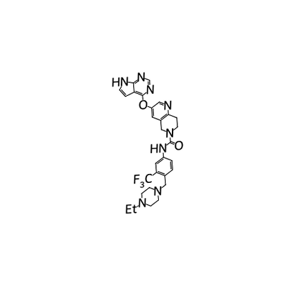 CCN1CCN(Cc2ccc(NC(=O)N3CCc4ncc(Oc5ncnc6[nH]ccc56)cc4C3)cc2C(F)(F)F)CC1